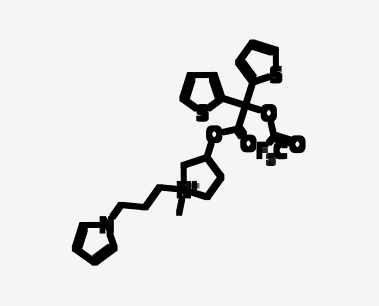 C[N+]1(CCCn2cccc2)CCC(OC(=O)C(OC(=O)C(F)(F)F)(c2cccs2)c2cccs2)C1